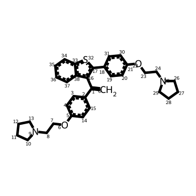 C=C(c1ccc(OCCN2CCCC2)cc1)c1c(-c2ccc(OCCN3CCCC3)cc2)sc2ccccc12